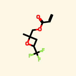 C=CC(=O)OCC1(C)CC(C(F)(F)F)O1